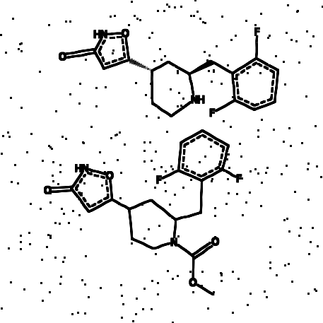 COC(=O)N1CCC(c2cc(=O)[nH]o2)CC1Cc1c(F)cccc1F.O=c1cc([C@H]2CCN[C@H](Cc3c(F)cccc3F)C2)o[nH]1